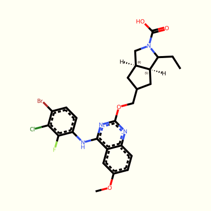 CCC1[C@H]2CC(COc3nc(Nc4ccc(Br)c(Cl)c4F)c4cc(OC)ccc4n3)C[C@H]2CN1C(=O)O